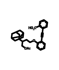 CC(=O)OCC(CCOc1ccccc1C#Cc1ccccc1C(=O)O)C12CC3CC(CC(C3)C1)C2